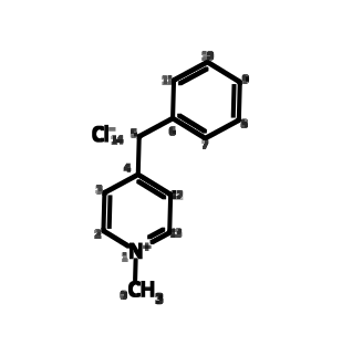 C[n+]1ccc(Cc2ccccc2)cc1.[Cl-]